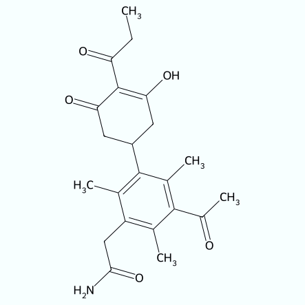 CCC(=O)C1=C(O)CC(c2c(C)c(CC(N)=O)c(C)c(C(C)=O)c2C)CC1=O